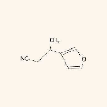 CC(CC#N)c1ccoc1